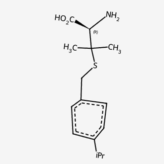 CC(C)c1ccc(CSC(C)(C)[C@H](N)C(=O)O)cc1